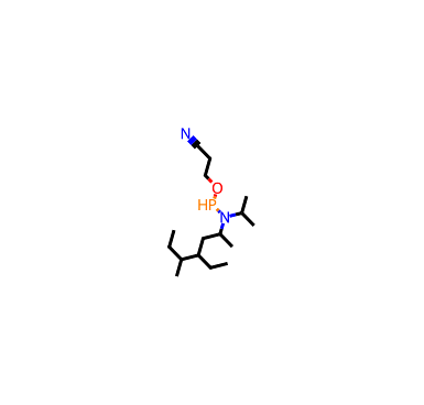 CCC(C)C(CC)CC(C)N(POCCC#N)C(C)C